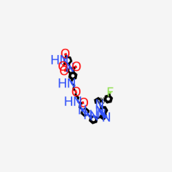 O=C(CN1CCN(c2cccc(-c3cnc4ccc(N5CCC[C@@H]5c5cccc(F)c5)nn34)n2)CC1)NCCOCCNc1ccc2c(c1)C(=O)N(C1CCC(=O)NC1=O)C2=O